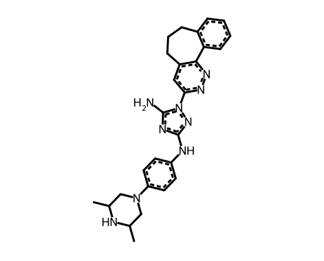 CC1CN(c2ccc(Nc3nc(N)n(-c4cc5c(nn4)-c4ccccc4CCC5)n3)cc2)CC(C)N1